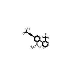 CN(C)c1cc(C#CC(=O)O)ccc1-c1ccccc1C(F)(F)F